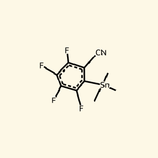 [CH3][Sn]([CH3])([CH3])[c]1c(F)c(F)c(F)c(F)c1C#N